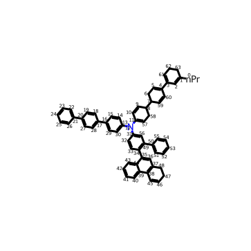 CCCC1=CC(C2=CCC(C3C=CC(N(c4ccc(-c5ccc(-c6ccccc6)cc5)cc4)c4ccc(-c5cc6c(c7ccccc57)C=CCC6)c(-c5ccccc5)c4)=CC3)C=C2)=CCC1